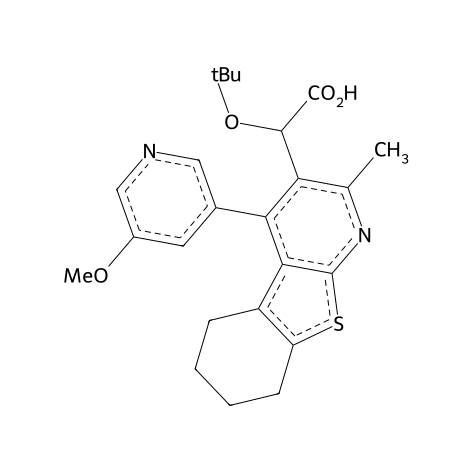 COc1cncc(-c2c(C(OC(C)(C)C)C(=O)O)c(C)nc3sc4c(c23)CCCC4)c1